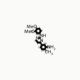 COc1ccc(Nc2nccc(-c3ccc(C)c(N)c3)n2)cc1OC